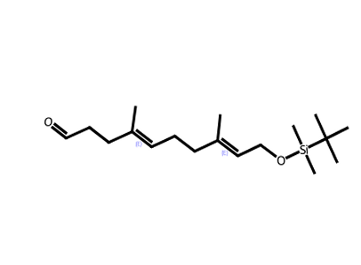 C/C(=C\CC/C(C)=C/CO[Si](C)(C)C(C)(C)C)CCC=O